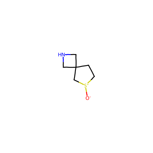 [O-][S+]1CCC2(CNC2)C1